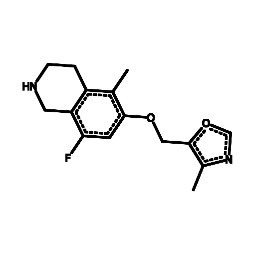 Cc1ncoc1COc1cc(F)c2c(c1C)CCNC2